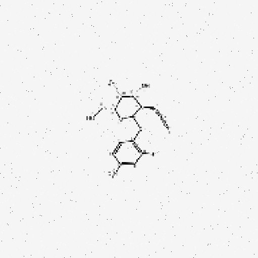 [N-]=[N+]=N[C@H]1C(Oc2ccc([N+](=O)[O-])cc2F)O[C@H](CO)[C@H](O)[C@@H]1O